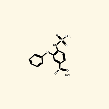 CS(=O)(=O)Nc1ccc([N+](=O)[O-])cc1Oc1ccccc1.Cl